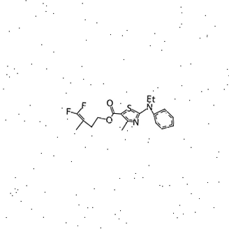 CCN(c1ccccc1)c1nc(C)c(C(=O)OCCC(C)=C(F)F)s1